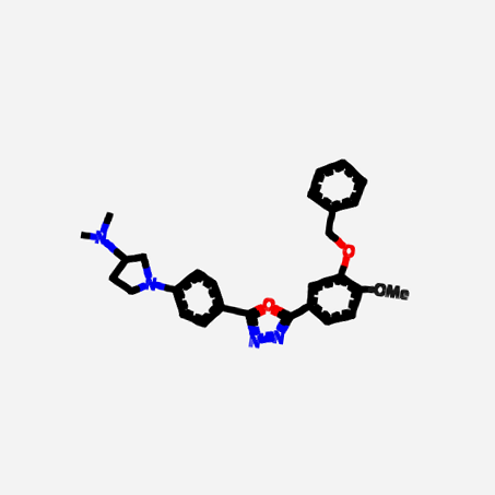 COc1ccc(-c2nnc(-c3ccc(N4CCC(N(C)C)C4)cc3)o2)cc1OCc1ccccc1